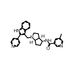 Cc1cncc(C(=O)N[C@H]2CC[C@@H]3[C@H]2CCN3Cc2c(-c3ccncc3)[nH]c3ccccc23)c1